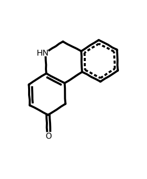 O=C1C=CC2=C(C1)c1ccccc1CN2